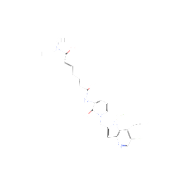 CC(C)Cc1c(F)cnc2cc(Cn3cccc(NC(=O)CCC/C=C/C(=O)N(C)C)c3=O)n(SF)c12